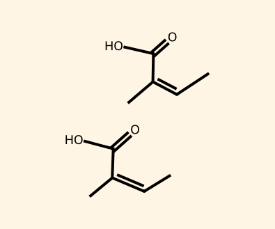 C/C=C(/C)C(=O)O.C/C=C(/C)C(=O)O